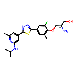 Cc1cc(-c2nnc(-c3cc(C)c(OC[C@H](N)CO)c(Cl)c3)s2)cc(NC(C)C)n1